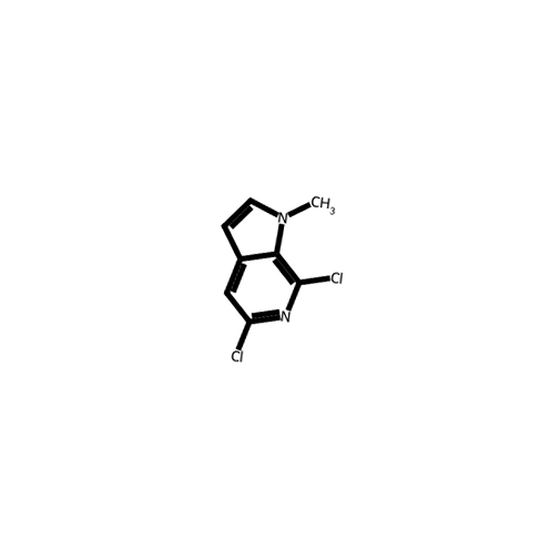 Cn1ccc2cc(Cl)nc(Cl)c21